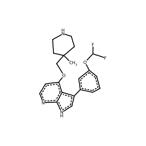 CC1(COc2ccnc3[nH]cc(-c4cccc(OC(F)F)c4)c23)CCNCC1